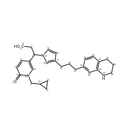 O=C(O)CC(c1ccc(=O)n(CC2CC2)c1)n1ccc(CCCc2ccc3c(n2)NCCC3)n1